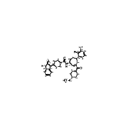 COC1CCN(C(=O)N2C[C@H](NC(=O)N3CCC(n4c(=O)[nH]c5ncccc54)CC3)CC[C@@H](c3cccc(F)c3F)C2)CC1